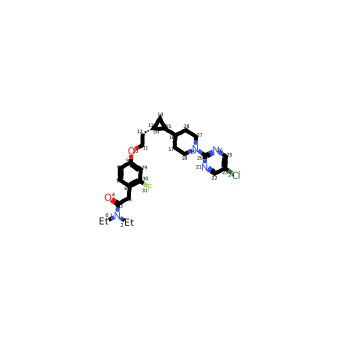 CCN(CC)C(=O)Cc1ccc(OCC[C@@H]2CC2C2CCN(c3ncc(Cl)cn3)CC2)cc1F